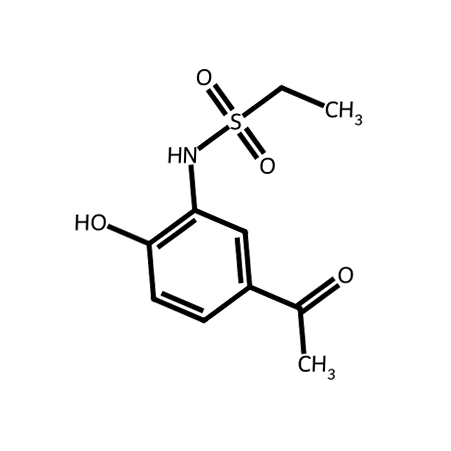 CCS(=O)(=O)Nc1cc(C(C)=O)ccc1O